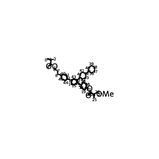 C=C(C)C(=O)OCCCc1ccc(-c2ccc(-c3ccc(OC(=O)C(=C)COC)cc3)c(C3CCC(C4CCCCC4)CC3)c2)cc1